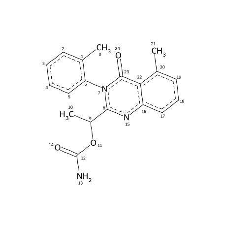 Cc1ccccc1-n1c(C(C)OC(N)=O)nc2cccc(C)c2c1=O